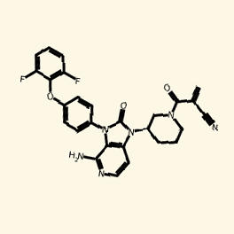 C=C(C#N)C(=O)N1CCC[C@@H](n2c(=O)n(-c3ccc(Oc4c(F)cccc4F)cc3)c3c(N)nccc32)C1